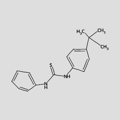 CC(C)(C)c1ccc(NC(=S)Nc2ccccc2)cc1